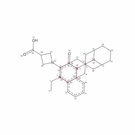 CCC1CC2CC(C1)CC(N1C3CCCC1CC(n1c(=O)c(N4CC(C(=O)O)C4)nc4ccccc41)C3)C2